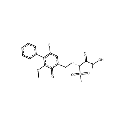 COc1c(-c2ccccc2)c(F)cn(CC[C@H](C(=O)NO)S(C)(=O)=O)c1=O